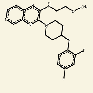 COCCNc1nc2ccncc2nc1N1CCC(Cc2ccc(F)cc2F)CC1